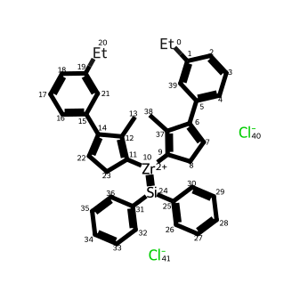 CCc1cccc(C2=CC[C]([Zr+2]([C]3=C(C)C(c4cccc(CC)c4)=CC3)=[Si](c3ccccc3)c3ccccc3)=C2C)c1.[Cl-].[Cl-]